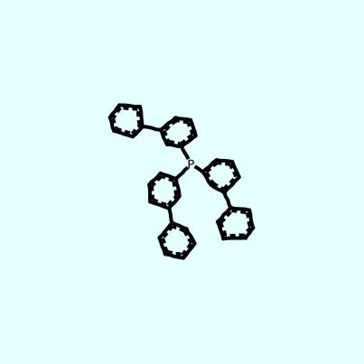 c1ccc(-c2cccc(P(c3cccc(-c4ccccc4)c3)c3cccc(-c4ccccc4)c3)c2)cc1